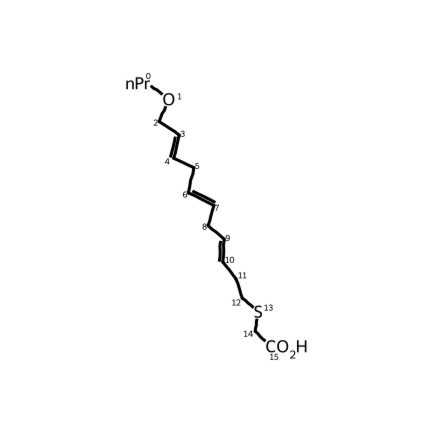 CCCOC/C=C/C/C=C/C/C=C/CCSCC(=O)O